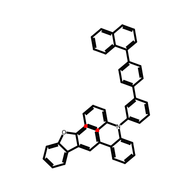 c1ccc(N(c2cccc(-c3ccc(-c4cccc5ccccc45)cc3)c2)c2ccccc2-c2ccc3oc4ccccc4c3c2)cc1